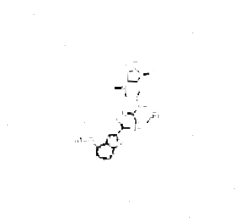 C=NC[C@H](C[C@@H]1CCNC1=O)NC(=O)[C@H](CC(C)C)NC(=O)c1cc2c(OC)cccc2[nH]1